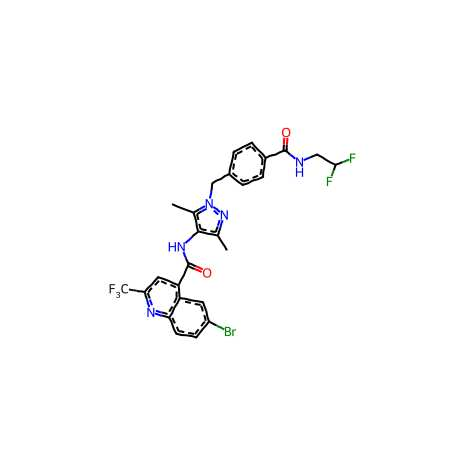 Cc1nn(Cc2ccc(C(=O)NCC(F)F)cc2)c(C)c1NC(=O)c1cc(C(F)(F)F)nc2ccc(Br)cc12